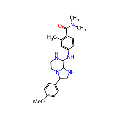 COc1ccc(C2CNC3C(Nc4ccc(C(=O)N(C)C)c(C)c4)NCCN23)cc1